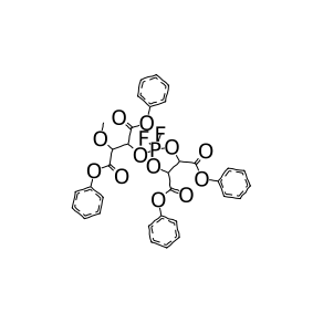 COC(C(=O)Oc1ccccc1)C(OP1(F)(F)OC(C(=O)Oc2ccccc2)C(C(=O)Oc2ccccc2)O1)C(=O)Oc1ccccc1